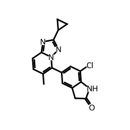 Cc1ccc2nc(C3CC3)nn2c1-c1cc(Cl)c2c(c1)CC(=O)N2